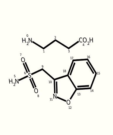 NCCCC(=O)O.NS(=O)(=O)Cc1noc2ccccc12